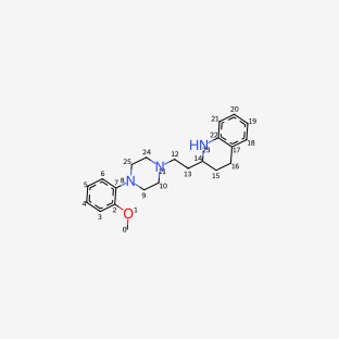 COc1ccccc1N1CCN(CCC2CCc3ccccc3N2)CC1